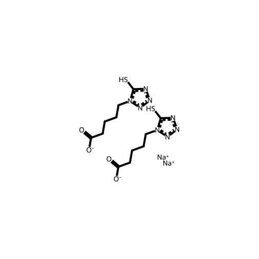 O=C([O-])CCCCn1nnnc1S.O=C([O-])CCCCn1nnnc1S.[Na+].[Na+]